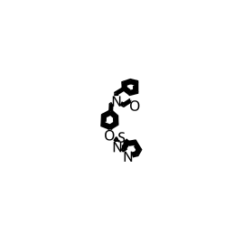 O=CCN(Cc1ccccc1)Cc1ccc(Oc2nc3ncccc3s2)cc1